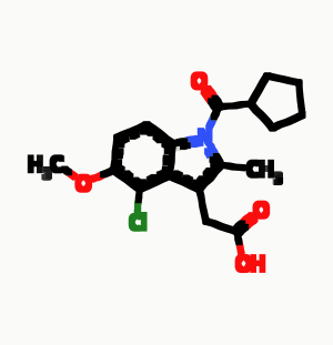 COc1ccc2c(c1Cl)c(CC(=O)O)c(C)n2C(=O)C1CCCC1